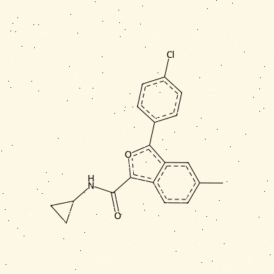 Cc1ccc2c(C(=O)NC3CC3)oc(-c3ccc(Cl)cc3)c2c1